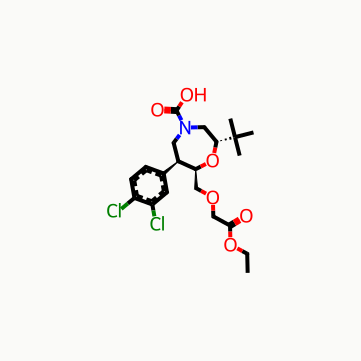 CCOC(=O)COC[C@@H]1O[C@@H](C(C)(C)C)CN(C(=O)O)C[C@@H]1c1ccc(Cl)c(Cl)c1